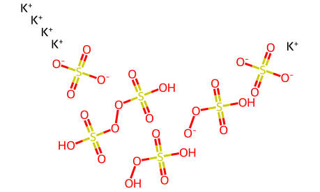 O=S(=O)(O)OO.O=S(=O)(O)OOS(=O)(=O)O.O=S(=O)(O)O[O-].O=S(=O)([O-])[O-].O=S(=O)([O-])[O-].[K+].[K+].[K+].[K+].[K+]